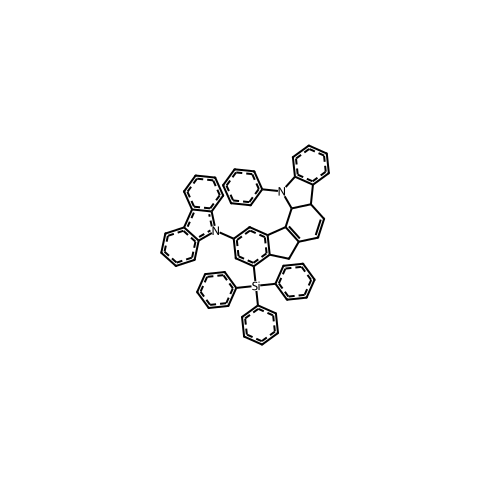 C1=CC2c3ccccc3N(c3ccccc3)C2C2=C1Cc1c2cc(-n2c3ccccc3c3ccccc32)cc1[Si](c1ccccc1)(c1ccccc1)c1ccccc1